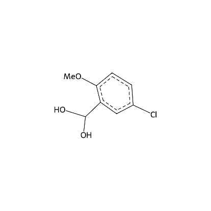 COc1ccc(Cl)cc1C(O)O